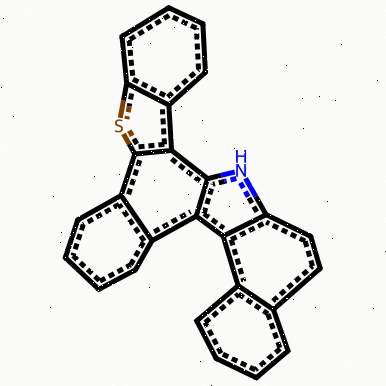 c1ccc2c(c1)ccc1[nH]c3c4c5ccccc5sc4c4ccccc4c3c12